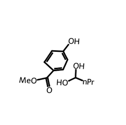 CCCC(O)O.COC(=O)c1ccc(O)cc1